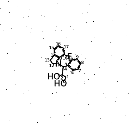 OCC(O)C(c1ccccc1)N1CCc2cccc(F)c21